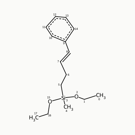 CCO[Si](C)(CCC=Cc1ccccc1)OCC